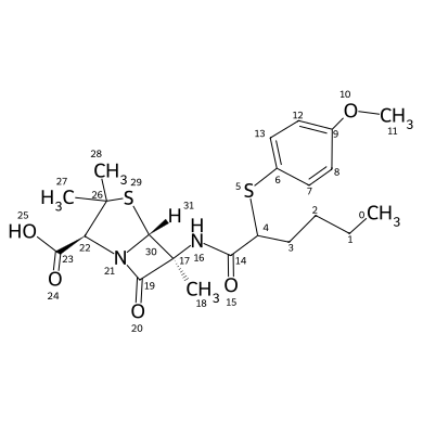 CCCCC(Sc1ccc(OC)cc1)C(=O)N[C@@]1(C)C(=O)N2[C@@H](C(=O)O)C(C)(C)S[C@@H]21